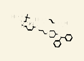 CC(C)(C(=O)O)c1nnc2ccc(OCCCN3CCC(OC(c4ccccc4)c4ccccc4)CC3)nn12.O=C(O)C=CC(=O)O